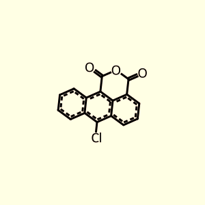 O=C1OC(=O)c2c3ccccc3c(Cl)c3cccc1c23